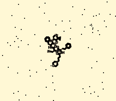 CC(C)C[C@H](NC(=O)[C@H](CCc1ccccc1)NC(=O)CCCN1CCOCC1)C(=O)N[C@@H](Cc1ccccc1)C(=O)N[C@@H](CC(C)C)C(=O)C1(C)CC1